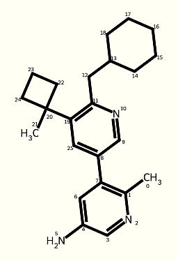 Cc1ncc(N)cc1-c1cnc(CC2CCCCC2)c(C2(C)CCC2)c1